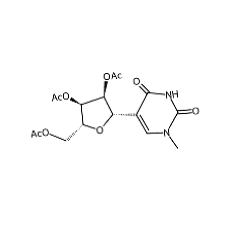 CC(=O)OC[C@H]1O[C@@H](c2cn(C)c(=O)[nH]c2=O)[C@H](OC(C)=O)[C@@H]1OC(C)=O